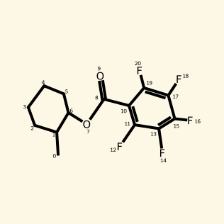 CC1CCCCC1OC(=O)c1c(F)c(F)c(F)c(F)c1F